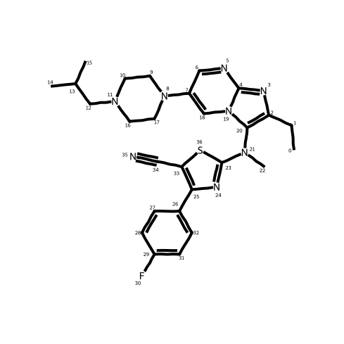 CCc1nc2ncc(N3CCN(C[C](C)C)CC3)cn2c1N(C)c1nc(-c2ccc(F)cc2)c(C#N)s1